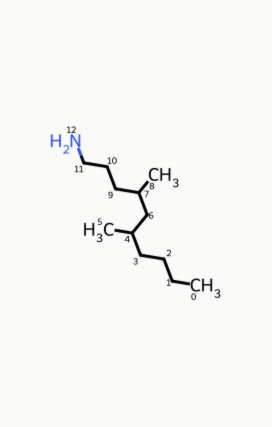 CCCCC(C)CC(C)CCCN